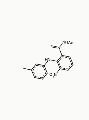 C=[N+](NC(C)=O)c1cccc([N+](=O)[O-])c1Nc1cccc(C)c1